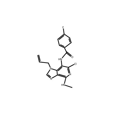 C=CCn1cnc2c(NC)nc(Cl)c(NC(=O)c3ccc(F)cc3)c21